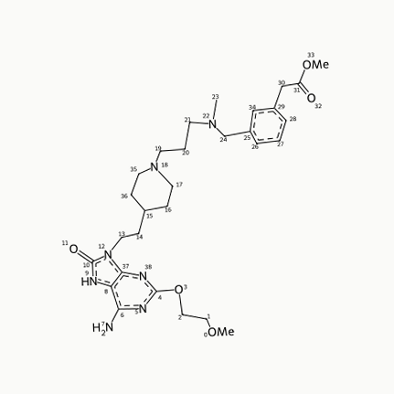 COCCOc1nc(N)c2[nH]c(=O)n(CCC3CCN(CCCN(C)Cc4cccc(CC(=O)OC)c4)CC3)c2n1